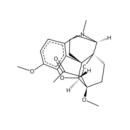 COc1ccc2c3c1O[C@H]1[C@@]4(OC)CC[C@@]5(C[C@@H]4C(C)=O)[C@@H](C2)N(C)CC[C@]315